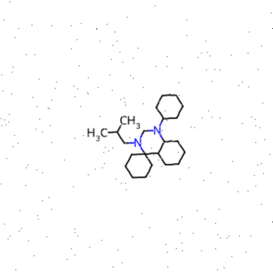 CC(C)CN1CN(C2CCCCC2)C2CCCCC2C12CCCCC2